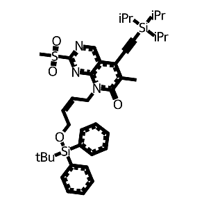 Cc1c(C#C[Si](C(C)C)(C(C)C)C(C)C)c2cnc(S(C)(=O)=O)nc2n(C/C=C\CO[Si](c2ccccc2)(c2ccccc2)C(C)(C)C)c1=O